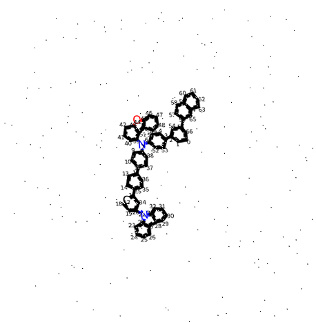 c1cc(-c2ccc(N(c3ccc(-c4ccc(-c5cccc(-n6c7ccccc7c7ccccc76)c5)cc4)cc3)c3cccc4oc5ccccc5c34)cc2)cc(-c2ccc3ccccc3c2)c1